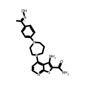 C/C(=N\O)c1ccc(N2CCCN(c3ccnc4sc(C(N)=O)c(N)c34)CC2)cc1